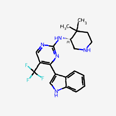 CC1(C)CCNC[C@@H]1Nc1ncc(C(F)(F)F)c(-c2c[nH]c3ccccc23)n1